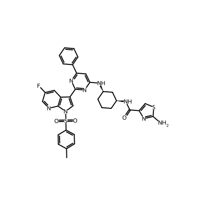 Cc1ccc(S(=O)(=O)n2cc(-c3nc(N[C@@H]4CCC[C@H](NC(=O)c5csc(N)n5)C4)cc(-c4ccccc4)n3)c3cc(F)cnc32)cc1